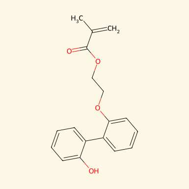 C=C(C)C(=O)OCCOc1ccccc1-c1ccccc1O